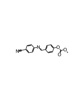 COC(=O)Oc1ccc(C=Nc2ccc(C#N)cc2)cc1